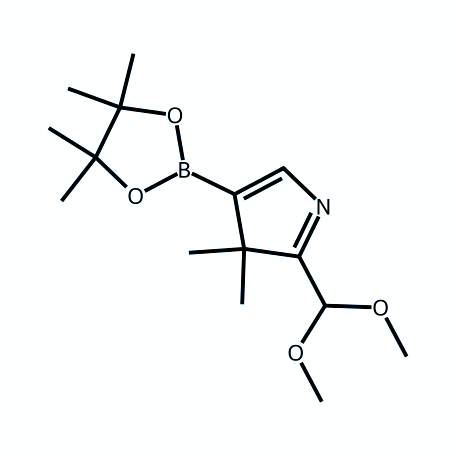 COC(OC)C1=NC=C(B2OC(C)(C)C(C)(C)O2)C1(C)C